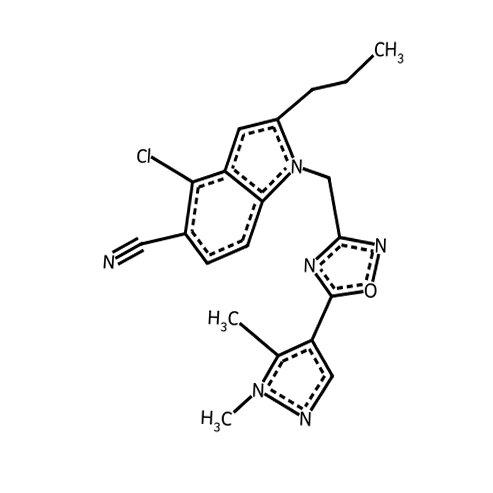 CCCc1cc2c(Cl)c(C#N)ccc2n1Cc1noc(-c2cnn(C)c2C)n1